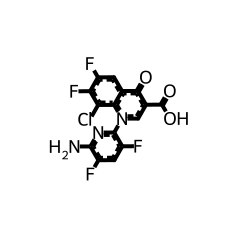 Nc1nc(-n2cc(C(=O)O)c(=O)c3cc(F)c(F)c(Cl)c32)c(F)cc1F